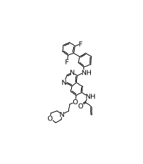 C=CC(=O)Nc1cc2c(Nc3cccc(-c4c(F)cccc4F)c3)ncnc2cc1OCCN1CCOCC1